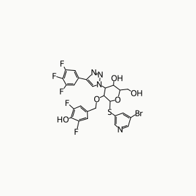 OCC1OC(Sc2cncc(Br)c2)C(OCc2cc(F)c(O)c(F)c2)C(n2cc(-c3cc(F)c(F)c(F)c3)nn2)C1O